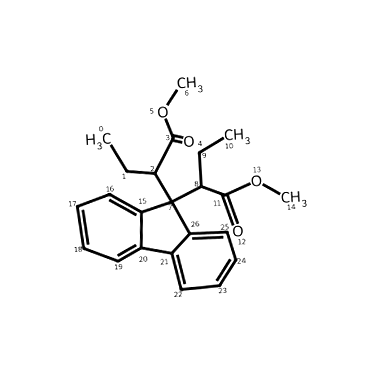 CCC(C(=O)OC)C1(C(CC)C(=O)OC)c2ccccc2-c2ccccc21